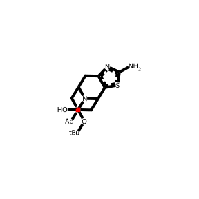 CC(=O)N1CC2Cc3nc(N)sc3C(C1)N2C(O)OC(C)(C)C